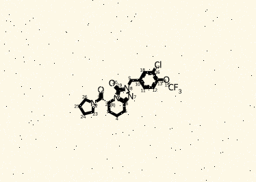 O=C([C@H]1CCCc2nn(Cc3ccc(OC(F)(F)F)c(Cl)c3)c(=O)n21)N1CCCC1